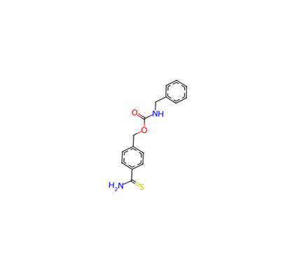 NC(=S)c1ccc(COC(=O)NCc2ccccc2)cc1